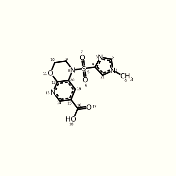 Cn1cnc(S(=O)(=O)N2CCOc3ncc(C(=O)O)cc32)c1